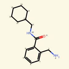 NCc1ccccc1C(=O)NC[C]1CCCCC1